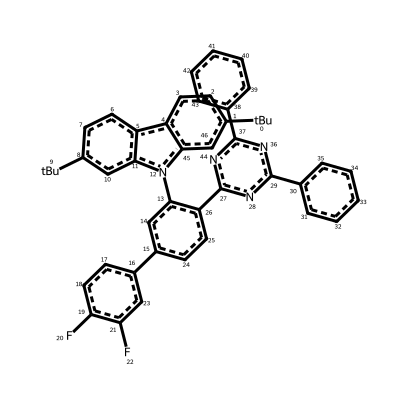 CC(C)(C)c1ccc2c3ccc(C(C)(C)C)cc3n(-c3cc(-c4ccc(F)c(F)c4)ccc3-c3nc(-c4ccccc4)nc(-c4ccccc4)n3)c2c1